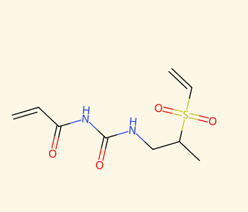 C=CC(=O)NC(=O)NCC(C)S(=O)(=O)C=C